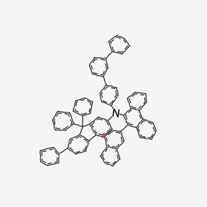 c1ccc(-c2cccc(-c3ccc(N(c4ccc5c(c4)C(c4ccccc4)(c4ccccc4)c4cc(-c6ccccc6)ccc4-5)c4c(-c5ccc6ccccc6c5)c5ccccc5c5ccccc45)cc3)c2)cc1